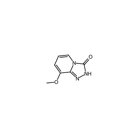 COc1cccn2c(=O)[nH]nc12